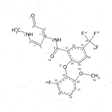 CN/C=C\C(=C/C=O)NC(=O)c1cc(C(F)(F)F)ccc1Oc1c(F)cccc1OC